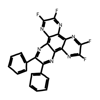 Fc1nc2c3nc(F)c(F)nc3c3nc(-c4ccccc4)c(-c4ccccc4)nc3c2nc1F